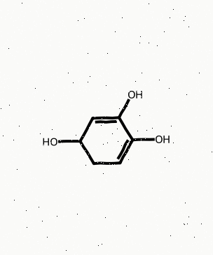 OC1=CCC(O)C=C1O